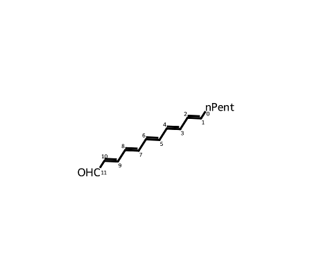 CCCCCC=CC=CC=CC=CC=CC=O